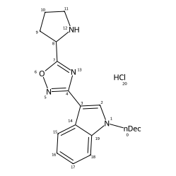 CCCCCCCCCCn1cc(-c2noc(C3CCCN3)n2)c2ccccc21.Cl